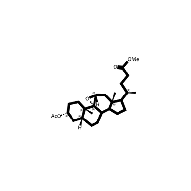 COC(=O)CC[C@@H](C)C1CCC2C3CC[C@@H]4C[C@H](OC(C)=O)CC[C@]4(C)[C@]34O[C@@H]4C[C@@]21C